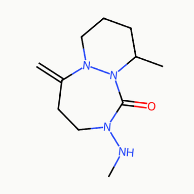 C=C1CCN(NC)C(=O)N2C(C)CCCN12